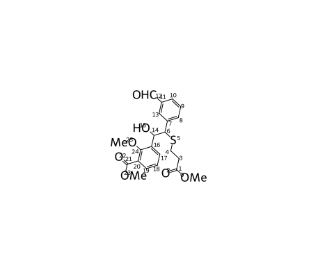 COC(=O)CCSC(c1cccc(C=O)c1)C(O)c1cccc(C(=O)OC)c1OC